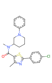 Cc1nc(-c2ccc(Cl)cc2)sc1C(=O)N(C)C1CCCN(c2ccccc2)C1